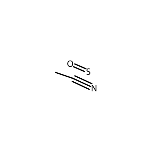 CC#N.O=S